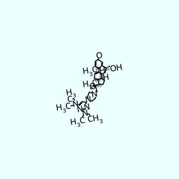 CCN(CC)c1cc(N2CCN(CC(=O)[C@@H]3CC[C@H]4[C@@H]5C[C@H](CO)C6=CC(=O)C=C[C@]6(C)C5=CC[C@]34C)CC2)nc(N(CC)CC)n1